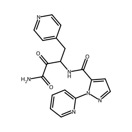 NC(=O)C(=O)C(Cc1ccncc1)NC(=O)c1ccnn1-c1ccccn1